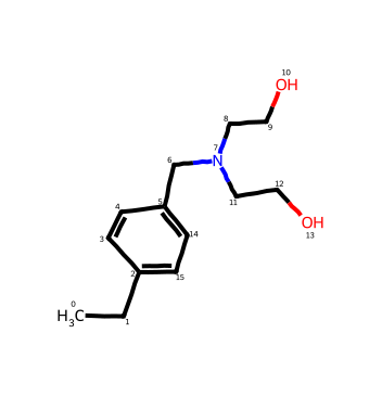 CCc1ccc(CN(CCO)CCO)cc1